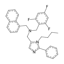 CCCCn1c(CN(Cc2c(F)cc(F)cc2F)Cc2cccc3ccccc23)cnc1-c1ccccc1